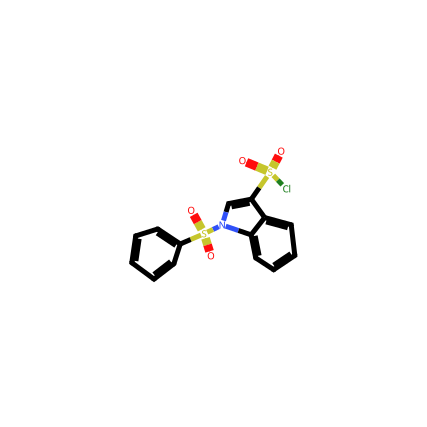 O=S(=O)(Cl)c1cn(S(=O)(=O)c2ccccc2)c2ccccc12